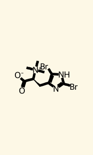 C[N+](C)(C)[C@@H](Cc1nc(Br)[nH]c1Br)C(=O)[O-]